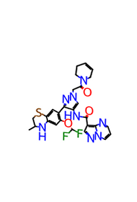 CC1CSc2cc(-c3nn(CC(=O)N4CC=CCC4)cc3NC(=O)c3cnn4cccnc34)c(OC(F)F)cc2N1